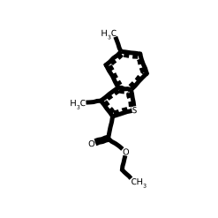 CCOC(=O)c1sc2ccc(C)cc2c1C